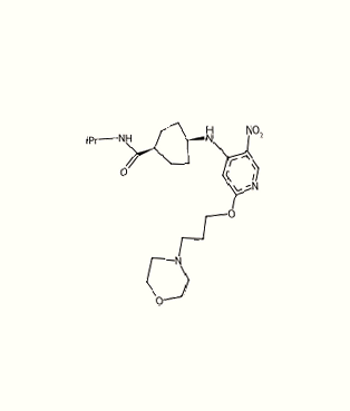 CC(C)NC(=O)[C@H]1CC[C@@H](Nc2cc(OCCCN3CCOCC3)ncc2[N+](=O)[O-])CC1